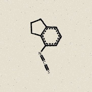 S=C=Nc1cccc2c1CCC2